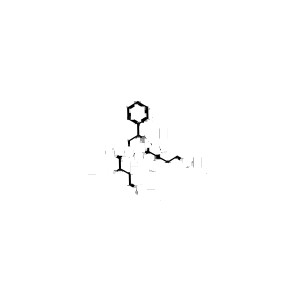 C=CCC(C)C(=O)OCC(NC(=O)C(C)(C)CC=C)c1ccccc1